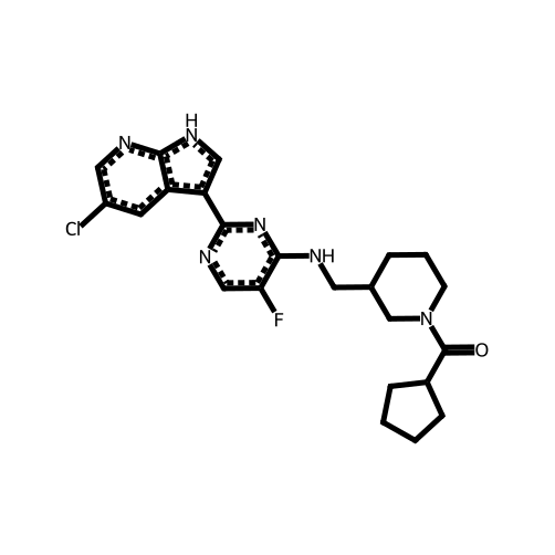 O=C(C1CCCC1)N1CCCC(CNc2nc(-c3c[nH]c4ncc(Cl)cc34)ncc2F)C1